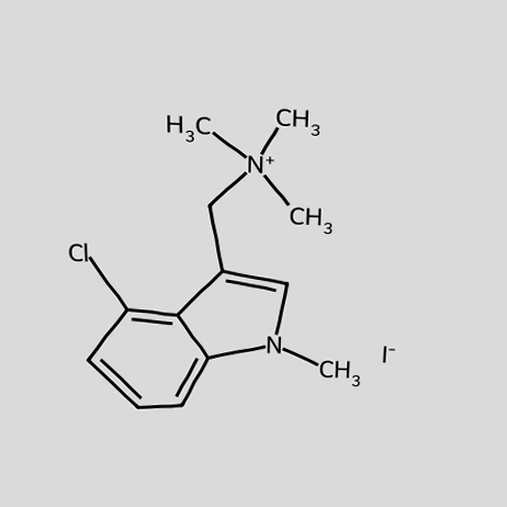 Cn1cc(C[N+](C)(C)C)c2c(Cl)cccc21.[I-]